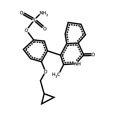 Cc1[nH]c(=O)c2ccccc2c1-c1cc(OS(N)(=O)=O)ccc1OCC1CC1